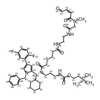 CN(CC(=O)NCCNC(=O)CCSCC(=O)N(CCCNC(=O)OCC[Si](C)(C)C)[C@@H](c1cc(-c2cc(F)ccc2F)cn1Cc1ccccc1)C1CCCCC1)C(=O)/C=C\C=O